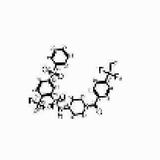 O=C(c1ccc(C(F)(F)F)cc1)N1CCC(NS(=O)(=O)c2cc(S(=O)(=O)c3ccccc3)ccc2C(F)(F)F)CC1